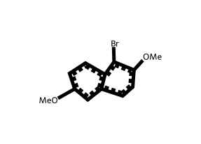 COc1ccc2c(Br)c(OC)ccc2c1